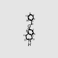 c1ccc(COc2ccc3c(n2)CCNC3)cc1